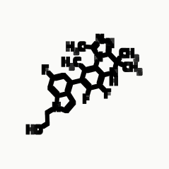 Cc1c(-c2cc(F)cc3c2ccn3CCO)c(F)c(F)c2c1-n1c(C)nnc1C(C)(C)N2